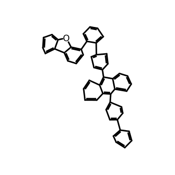 c1ccc(-c2ccc(-c3c4ccccc4c(-c4ccc(-c5ccccc5-c5cccc6c5oc5ccccc56)cc4)c4ccccc34)cc2)cc1